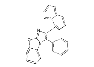 c1ccc(-c2c(-c3cccc4ccccc34)nc3oc4ccccc4n23)cc1